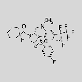 CN1CC2N(C(=O)C3(F)CCCCC3)CCC2(S(=O)(=O)c2ccc(F)cc2)c2ccc(C(F)(C(F)(F)F)C(F)(F)F)cc21